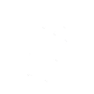 COc1cc(N2CCC(Nc3ncc4c(n3)N(c3ccc(Cl)cc3)CCO4)CC2)ccn1